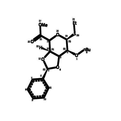 CCCCO[C@H]1C2O[C@@H](c3ccccc3)O[C@H]2C(C(=O)OC)O[C@H]1SCC